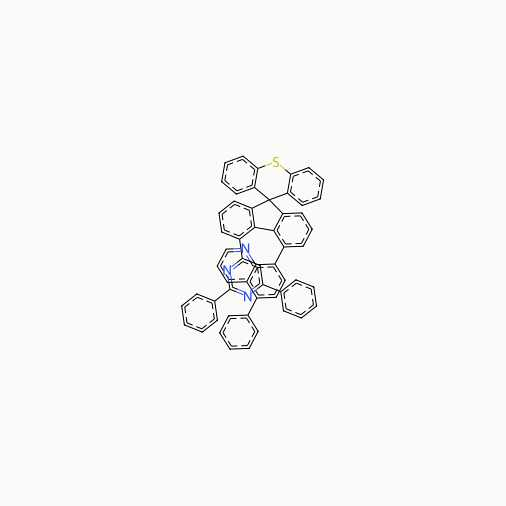 c1ccc(-c2cc(-c3cccc4c3-c3c(-c5ccc(-c6ccccc6)c6cccnc56)cccc3C43c4ccccc4Sc4ccccc43)nc(-c3ccccc3)n2)cc1